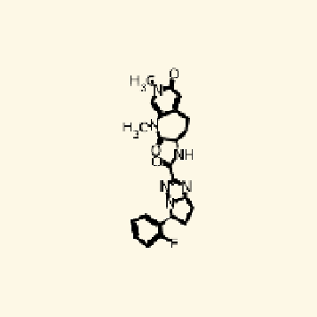 CN1C(=O)[C@H](NC(=O)c2nc3n(n2)[C@H](c2ccccc2F)CC3)CCc2cc(=O)n(C)cc21